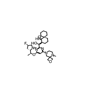 C[C@H](Oc1cc(N2CCN(C)C3(COC3)C2)nc(/C(O)=C2\CCC[C@@]3(CCCCC3=O)C2=N)n1)[C@@H]1C[C@@H](F)CN1C